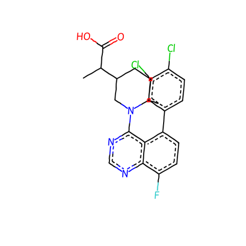 CC(C(=O)O)C1CCC(C)N(c2ncnc3c(F)ccc(-c4ccc(Cl)c(Cl)c4)c23)C1